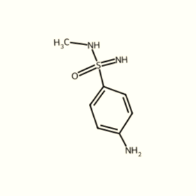 CNS(=N)(=O)c1ccc(N)cc1